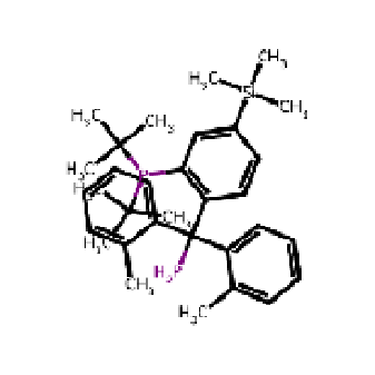 Cc1ccccc1C(P)(c1ccccc1C)c1ccc([Si](C)(C)C)cc1P(C(C)(C)C)C(C)(C)C